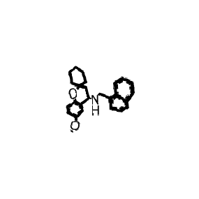 COc1ccc2c(c1)[C@@H](NCc1cccc3ccccc13)CC1(CCCCC1)O2